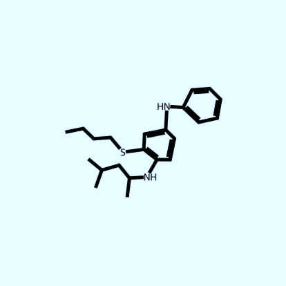 CCCCSc1cc(Nc2ccccc2)ccc1NC(C)CC(C)C